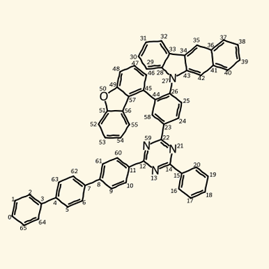 c1ccc(-c2ccc(-c3ccc(-c4nc(-c5ccccc5)nc(-c5ccc(-n6c7ccccc7c7cc8ccccc8cc76)c(-c6cccc7oc8ccccc8c67)c5)n4)cc3)cc2)cc1